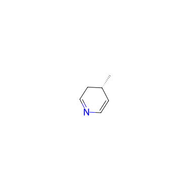 C[C@@H]1C=CN=CC1